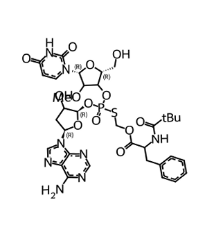 COC1C(OP(=O)(O[C@H]2O[C@@H](n3cnc4c(N)ncnc43)CC2O)SCOC(=O)C(Cc2ccccc2)NC(=O)C(C)(C)C)[C@@H](CO)O[C@H]1n1ccc(=O)[nH]c1=O